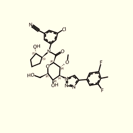 CO[C@@H]1[C@@H](n2cc(-c3cc(F)c(C)c(F)c3)nn2)[C@@H](O)[C@@H](CO)O[C@H]1C(=O)N(c1cc(Cl)cc(C#N)c1)[C@H]1CCC[C@@H]1O